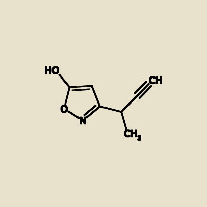 C#CC(C)c1cc(O)on1